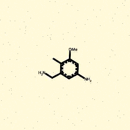 COc1cc(N)cc(CN)c1C